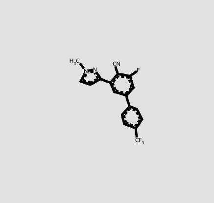 Cn1ccc(-c2cc(-c3ccc(C(F)(F)F)cc3)cc(F)c2C#N)n1